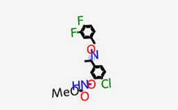 COC(=O)NOc1cc(/C(C)=N/OCc2ccc(F)c(F)c2)ccc1Cl